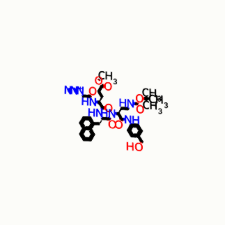 COC(=O)CC[C@H](NC(=O)CN=[N+]=[N-])C(=O)N[C@@H](Cc1cccc2ccccc12)C(=O)N[C@@H](CCNC(=O)OC(C)(C)C)C(=O)Nc1ccc(CO)cc1